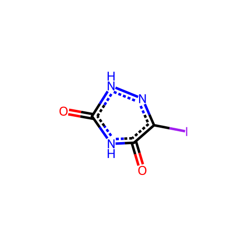 O=c1[nH]nc(I)c(=O)[nH]1